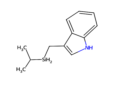 CC(C)[SiH2]Cc1c[nH]c2ccccc12